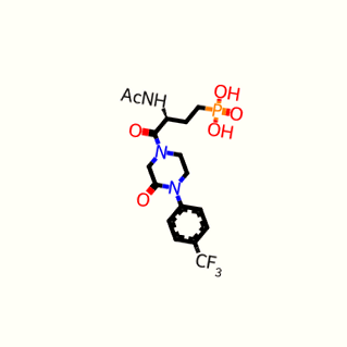 CC(=O)N[C@@H](CCP(=O)(O)O)C(=O)N1CCN(c2ccc(C(F)(F)F)cc2)C(=O)C1